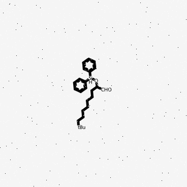 CC(C)(C)CCCCCCCC(C=O)O[SiH](c1ccccc1)c1ccccc1